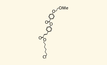 COCCOc1ccc(C(=O)Oc2ccc(C=CC(=O)OCCCCCCCl)cc2)cc1